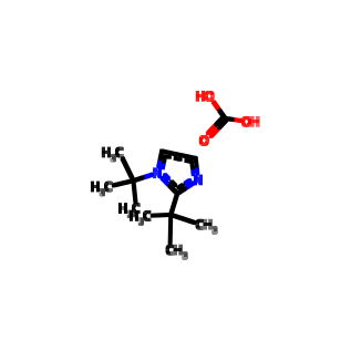 CC(C)(C)c1nccn1C(C)(C)C.O=C(O)O